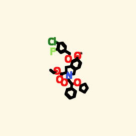 CCOC(=O)C1Cc2c(ccc(OC)c2OCc2ccc(Cl)c(F)c2)CN1C(=O)C(OC1CCCC1)c1ccccc1